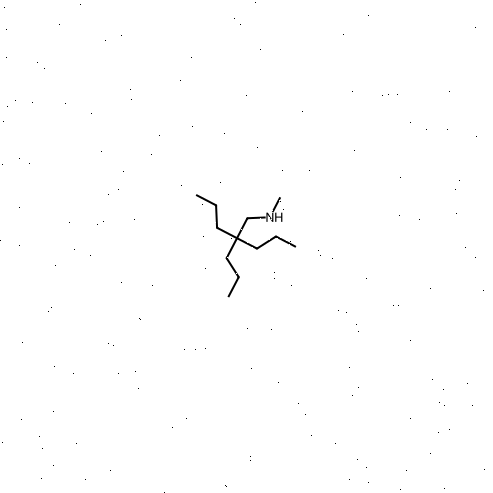 CCCC(CCC)(CCC)CNC